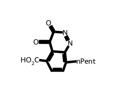 CCCCCc1ccc(C(=O)O)c2c1N=NC(=O)C2=O